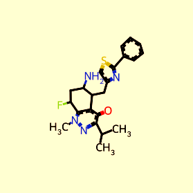 CC(C)c1nn(C)c2c(c1=O)C(Cc1csc(-c3ccccc3)n1)C(N)CC2F